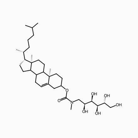 CC(C)CCC[C@@H](C)[C@H]1CCC2C3CC=C4CC(OC(=O)N(C)C[C@H](O)[C@@H](O)[C@H](O)[C@H](O)CO)CC[C@]4(C)C3CC[C@@]21C